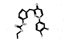 CCOC(=O)Nc1cccc(Cc2nn(-c3ccc(F)c(F)c3)ccc2=O)c1